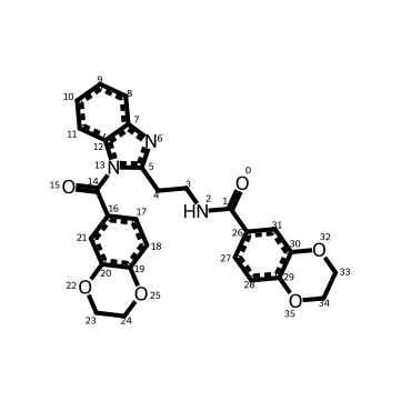 O=C(NCCc1nc2ccccc2n1C(=O)c1ccc2c(c1)OCCO2)c1ccc2c(c1)OCCO2